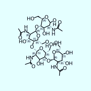 CC(=O)N[C@H]1C(O)O[C@H](CO)[C@@H](O[C@H]2O[C@H](CO)[C@@H](O[C@@H]3O[C@H](CO)[C@@H](O[C@H]4O[C@H](CO)[C@@H](O)[C@H](O)[C@H]4NC(C)=O)C(O)[C@H]3NC(C)=O)[C@H](O)[C@H]2NC(C)=O)C1O